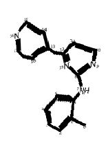 Cc1ccccc1Nc1nccc(-c2ccncc2)n1